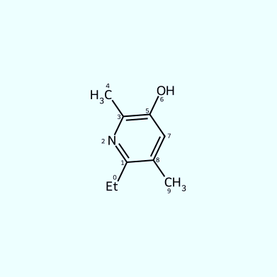 CCc1nc(C)c(O)cc1C